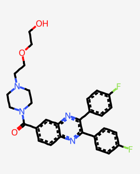 O=C(c1ccc2nc(-c3ccc(F)cc3)c(-c3ccc(F)cc3)nc2c1)N1CCN(CCOCCO)CC1